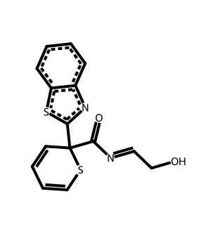 O=C(N=CCO)C1(c2nc3ccccc3s2)C=CC=CS1